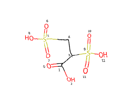 O=C(O)[C](CS(=O)(=O)O)S(=O)(=O)O